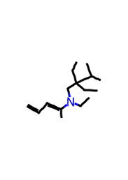 C=C/C=C(\C)N(CC)CC(CC)(CC)C(C)C